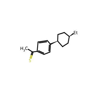 CC[C@H]1CC[C@@H](c2ccc(C(C)=S)cc2)CC1